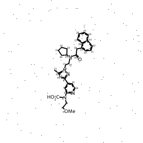 COCCN(C(=O)O)c1cc(-c2nc(C)n(CCN(C(=O)Cc3cccc4ccccc34)C3CCCC3)n2)ccn1